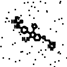 CC(C)NC(=O)Nc1ccc(C2=C(N)c3ccc(OCCn4ncnn4)cc3C2C2CCC2)cc1